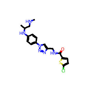 CNCC(C)Nc1ccc(-n2cc(CNC(=O)c3ccc(Cl)s3)nn2)cc1